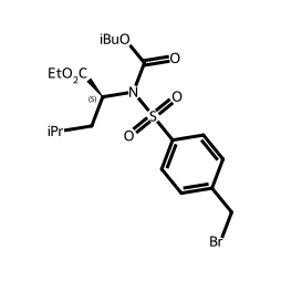 CCOC(=O)[C@H](CC(C)C)N(C(=O)OCC(C)C)S(=O)(=O)c1ccc(CBr)cc1